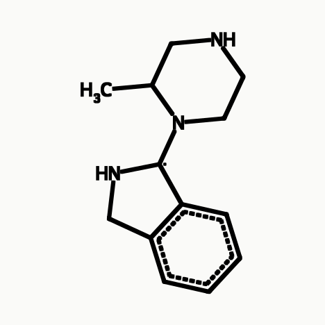 CC1CNCCN1[C]1NCc2ccccc21